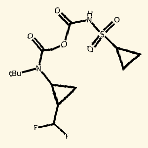 CC(C)(C)N(C(=O)OC(=O)NS(=O)(=O)C1CC1)C1CC1C(F)F